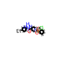 CCc1ccc(NC(=O)C2(N)CCN(S(=O)(=O)c3ccccc3Cl)CC2)cc1